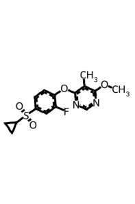 COc1ncnc(Oc2ccc(S(=O)(=O)C3CC3)cc2F)c1C